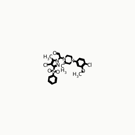 COc1cc(N2CCN(C(C=O)n3nc(S(=O)(=O)c4ccccc4)c(Cl)c3C)[C@@H](C)C2)ccc1Cl